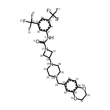 O=C(Nc1cc(C(F)(F)F)cc(C(F)(F)F)c1)N1CC(N2CCN(Cc3ccc4c(c3)OCCO4)CC2)C1